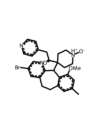 COc1cc(C)cc2c1C(C1(C(=O)Cc3ccncc3)CC[NH+]([O-])CC1)c1ncc(Br)cc1CC2